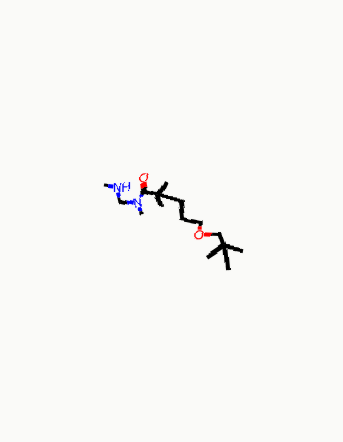 CNCN(C)C(=O)C(C)(C)CCCOCC(C)(C)C